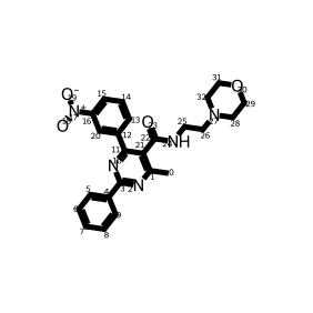 Cc1nc(-c2ccccc2)nc(-c2cccc([N+](=O)[O-])c2)c1C(=O)NCCN1CCOCC1